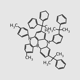 Cc1ccc(N2c3ccc(C)cc3B3c4c2cc(C(C)(C2=CCCC=C2)c2ccccc2)cc4N(c2cccc(C(C)(C)c4ccccc4)c2)C2C=C(C(C)(C)c4ccccc4)C=CC32)cc1